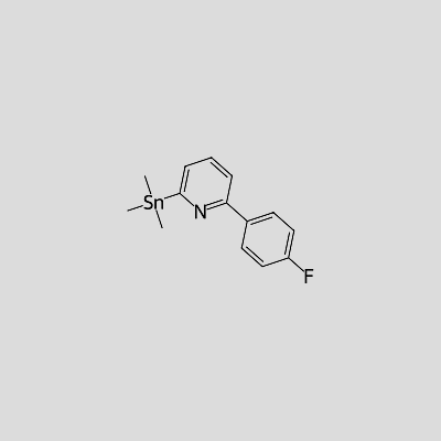 [CH3][Sn]([CH3])([CH3])[c]1cccc(-c2ccc(F)cc2)n1